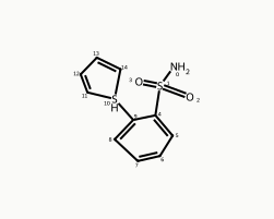 NS(=O)(=O)c1ccccc1[SH]1C=CC=C1